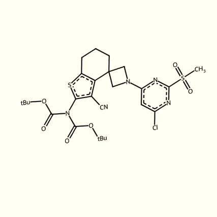 CC(C)(C)OC(=O)N(C(=O)OC(C)(C)C)c1sc2c(c1C#N)C1(CCC2)CN(c2cc(Cl)nc(S(C)(=O)=O)n2)C1